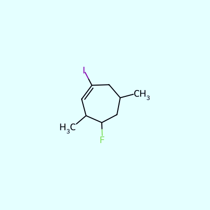 CC1CC(I)=CC(C)C(F)C1